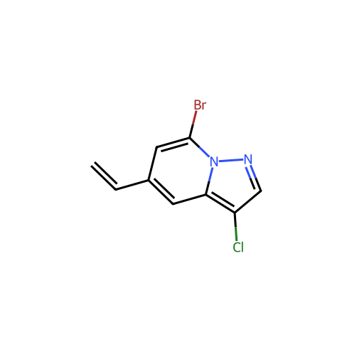 C=Cc1cc(Br)n2ncc(Cl)c2c1